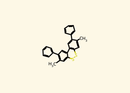 Cc1cc2c(cc1-c1ccccc1)-c1cc(-c3ccccc3)c(C)cc1SS2